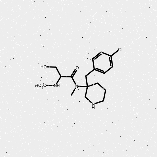 CN(C(=O)C(CO)NC(=O)O)C1(Cc2ccc(Cl)cc2)CCCNC1